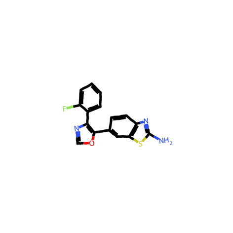 Nc1nc2ccc(-c3ocnc3-c3ccccc3F)cc2s1